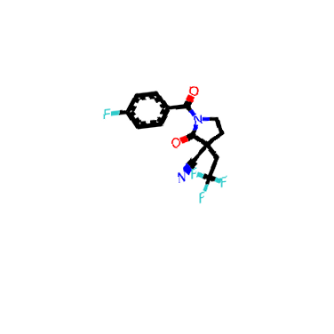 N#CC1(CC(F)(F)F)CCN(C(=O)c2ccc(F)cc2)C1=O